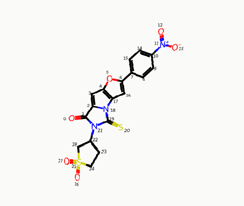 O=C1c2cc3oc(-c4ccc([N+](=O)[O-])cc4)cc3n2C(=S)N1C1CCS(=O)(=O)C1